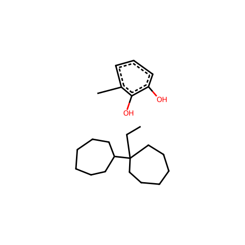 CCC1(C2CCCCCC2)CCCCCC1.Cc1cccc(O)c1O